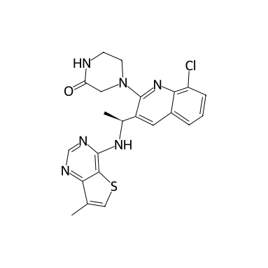 Cc1csc2c(N[C@@H](C)c3cc4cccc(Cl)c4nc3N3CCNC(=O)C3)ncnc12